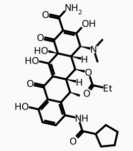 CCC(=O)O[C@H]1[C@H]2C(=C(O)[C@]3(O)C(=O)C(C(N)=O)=C(O)[C@@H](N(C)C)[C@H]13)C(=O)c1c(O)ccc(NC(=O)C3CCCC3)c1[C@@H]2C